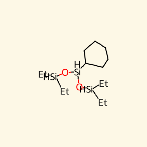 CC[SiH](CC)O[SiH](O[SiH](CC)CC)C1CCCCC1